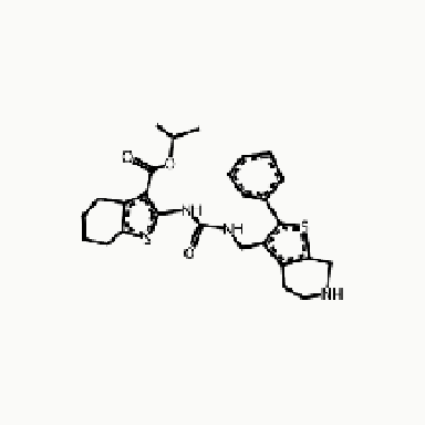 CC(C)OC(=O)c1c(NC(=O)NCc2c(-c3ccccc3)sc3c2CCNC3)sc2c1CCCC2